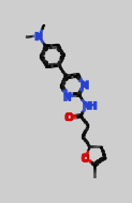 CC1=CCC(CCC(=O)Nc2ncc(-c3ccc(N(C)C)cc3)cn2)O1